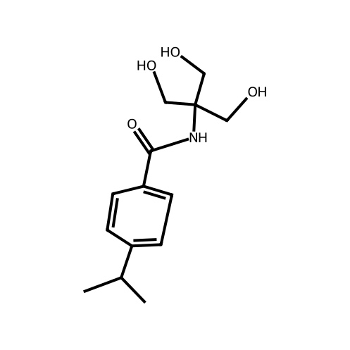 CC(C)c1ccc(C(=O)NC(CO)(CO)CO)cc1